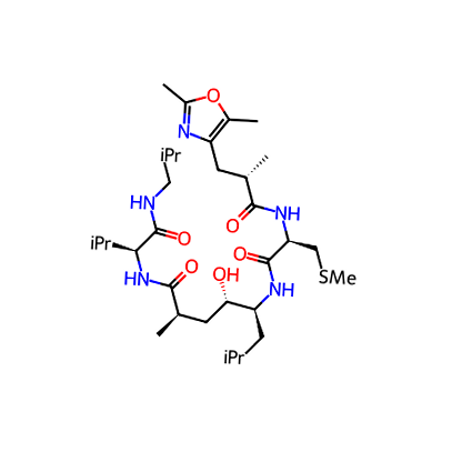 CSC[C@H](NC(=O)[C@@H](C)Cc1nc(C)oc1C)C(=O)N[C@@H](CC(C)C)[C@@H](O)C[C@@H](C)C(=O)N[C@H](C(=O)NCC(C)C)C(C)C